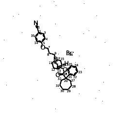 N#Cc1ccc(OCCC[N+]23CCC(CC2)[C@@H](OC(=O)C2(c4ccccc4)CCCCCC2)C3)cc1.[Br-]